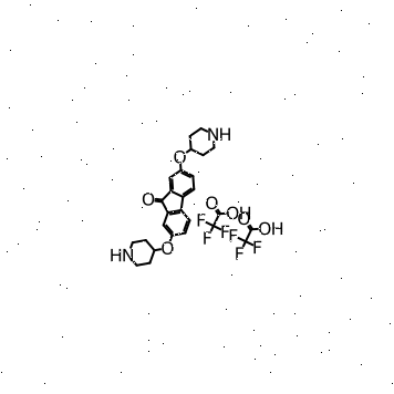 O=C(O)C(F)(F)F.O=C(O)C(F)(F)F.O=C1c2cc(OC3CCNCC3)ccc2-c2ccc(OC3CCNCC3)cc21